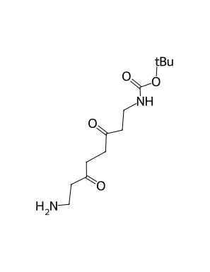 CC(C)(C)OC(=O)NCCC(=O)CCC(=O)CCN